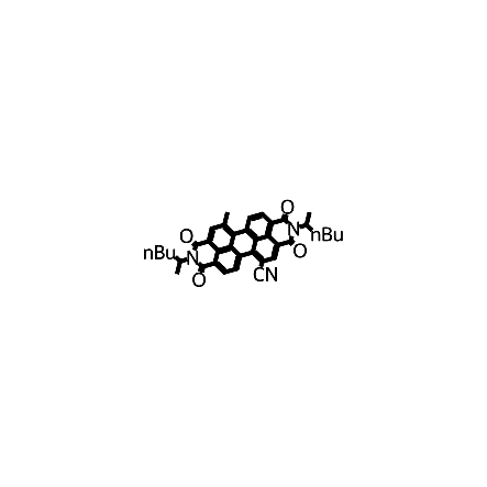 CCCCC(C)N1C(=O)c2ccc3c4c(C#N)cc5c6c(ccc(c7c(C)cc(c2c37)C1=O)c64)C(=O)N(C(C)CCCC)C5=O